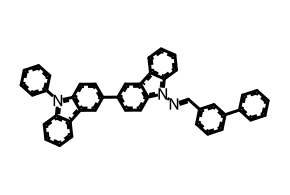 C(=N\n1c2ccccc2c2cc(-c3ccc4c(c3)c3ccccc3n4-c3ccccc3)ccc21)/c1cccc(-c2ccccc2)c1